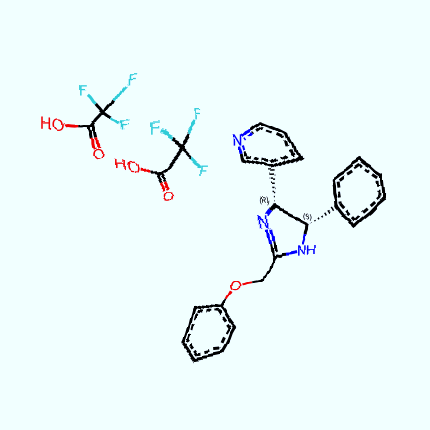 O=C(O)C(F)(F)F.O=C(O)C(F)(F)F.c1ccc(OCC2=N[C@H](c3cccnc3)[C@H](c3ccccc3)N2)cc1